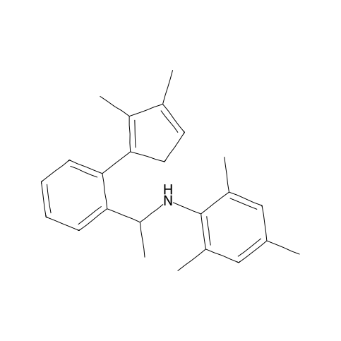 CC1=CCC(c2ccccc2C(C)Nc2c(C)cc(C)cc2C)=C1C